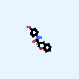 O=C(Nc1ccc(Br)cc1)C1COc2ccccc2C1